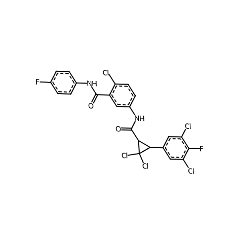 O=C(Nc1ccc(F)cc1)c1cc(NC(=O)C2C(c3cc(Cl)c(F)c(Cl)c3)C2(Cl)Cl)ccc1Cl